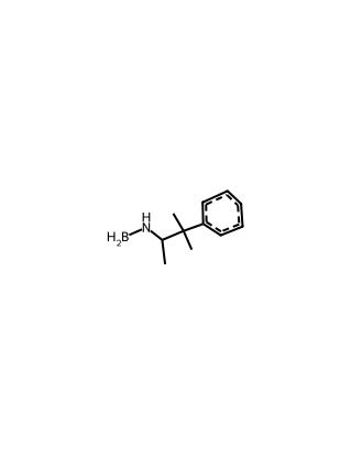 BNC(C)C(C)(C)c1ccccc1